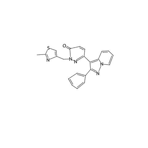 Cc1nc(Cn2nc(-c3c(-c4ccccc4)nn4ccccc34)ccc2=O)cs1